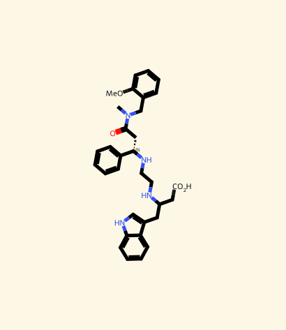 COc1ccccc1CN(C)C(=O)C[C@H](NCCNC(CC(=O)O)Cc1c[nH]c2ccccc12)c1ccccc1